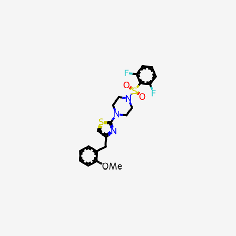 COc1ccccc1Cc1csc(N2CCN(S(=O)(=O)c3c(F)cccc3F)CC2)n1